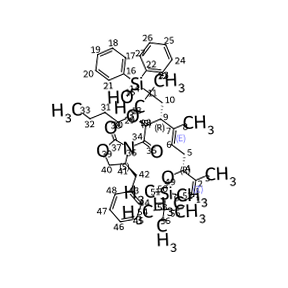 C/C=C(/C)[C@@H](C/C=C(\C)[C@@H](CC(C)(C)[Si](O)(c1ccccc1)c1ccccc1)[C@H](OCCCC)C(=O)N1C(=O)OC[C@@H]1Cc1ccccc1)O[Si](C)(C)C(C)(C)C